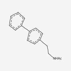 CC(=O)NCCc1ccc(-c2c[c]ccc2)cc1